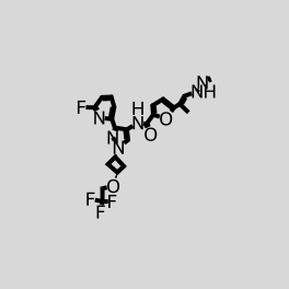 C=NN/C=C(\C)c1ccc(C(=O)Nc2cn([C@H]3C[C@@H](OCC(F)(F)F)C3)nc2-c2cccc(F)n2)o1